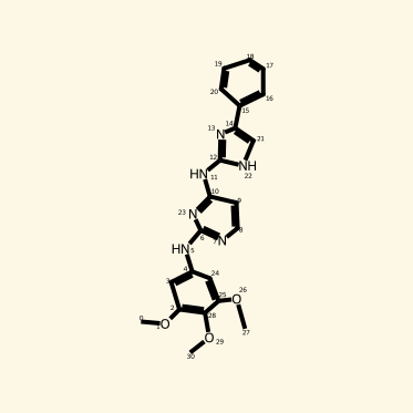 COc1cc(Nc2nccc(Nc3nc(-c4ccccc4)c[nH]3)n2)cc(OC)c1OC